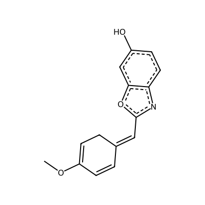 COC1=CCC(=Cc2nc3ccc(O)cc3o2)C=C1